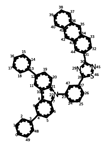 c1ccc(-c2ccc3c(c2)c2cc(-c4ccccc4)ccc2n3-c2cccc(-c3nc(-c4ccc5cc6ccccc6cc5c4)ns3)c2)cc1